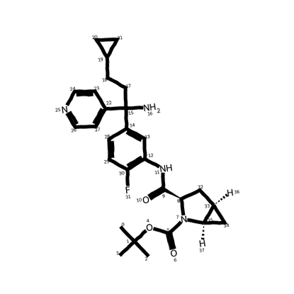 CC(C)(C)OC(=O)N1[C@@H](C(=O)Nc2cc(C(N)(CCC3CC3)c3ccncc3)ccc2F)C[C@H]2C[C@H]21